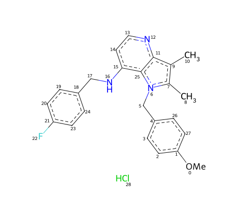 COc1ccc(Cn2c(C)c(C)c3nccc(NCc4ccc(F)cc4)c32)cc1.Cl